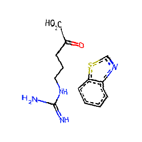 N=C(N)NCCCC(=O)C(=O)O.c1ccc2scnc2c1